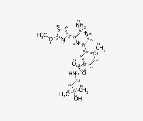 COc1nc(-c2nc(-c3cc(S(=O)(=O)NCCC(C)(C)O)ccc3C)cnc2N)cs1